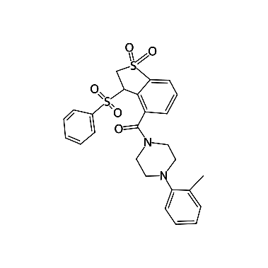 Cc1ccccc1N1CCN(C(=O)c2cccc3c2C(S(=O)(=O)c2ccccc2)CS3(=O)=O)CC1